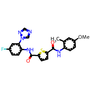 COc1ccc(NC(=O)c2ccc(C(=O)Nc3ccc(F)cc3-n3cncn3)s2)c(C)c1